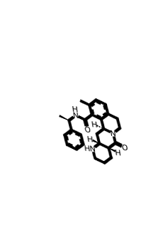 Cc1ccc2c(c1C(=O)N[C@H](C)c1ccccc1)[C@@H]1C[C@H]3NCCC[C@H]3C(=O)N1CC2